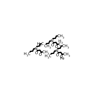 CCCCN(CCCC)C(=O)CC(C)=O.CCCCN(CCCC)C(=O)CC(C)=O.CCCCN(CCCC)C(=O)CC(C)=O.[Fe]